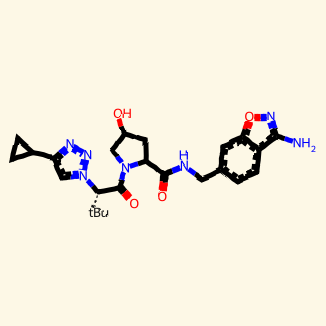 CC(C)(C)[C@@H](C(=O)N1CC(O)CC1C(=O)NCc1ccc2c(N)noc2c1)n1cc(C2CC2)nn1